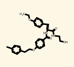 CCOc1ccc(/C=C(\NC(=O)c2ccc(OCCc3ccc(I)cc3)cc2)C(=O)NCCO)cc1